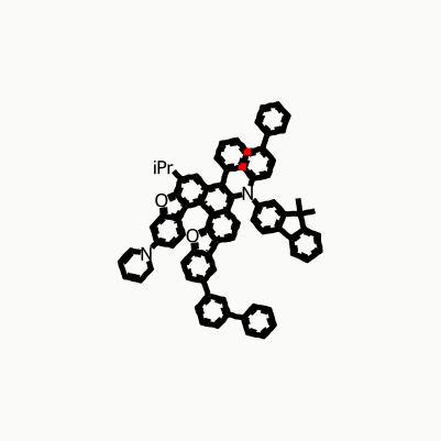 CC(C)c1cc2c(-c3ccccc3)c(N(c3ccc(-c4ccccc4)cc3)c3ccc4c(c3)C(C)(C)c3ccccc3-4)c3ccc4c5cc(-c6cccc(-c7ccccc7)c6)ccc5oc4c3c2c2c1oc1cc(N3C=CC=CC3)ccc12